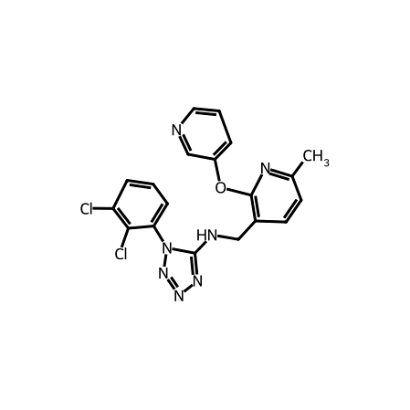 Cc1ccc(CNc2nnnn2-c2cccc(Cl)c2Cl)c(Oc2cccnc2)n1